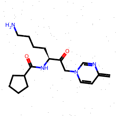 C=C1C=CN(CC(=O)[C@H](CCCCN)NC(=O)C2CCCC2)C=N1